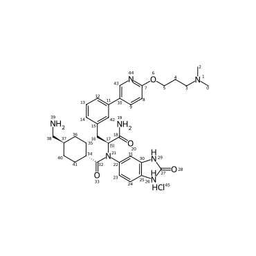 CN(C)CCCOc1ccc(-c2cccc(C[C@@H](C(N)=O)N(c3ccc4[nH]c(=O)[nH]c4c3)C(=O)[C@H]3CC[C@H](CN)CC3)c2)cn1.Cl